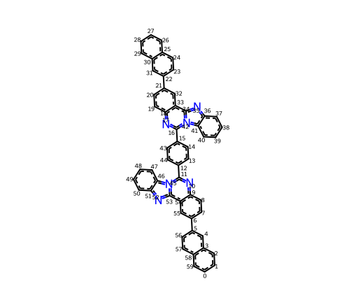 c1ccc2cc(-c3ccc4nc(-c5ccc(-c6nc7ccc(-c8ccc9ccccc9c8)cc7c7nc8ccccc8n67)cc5)n5c6ccccc6nc5c4c3)ccc2c1